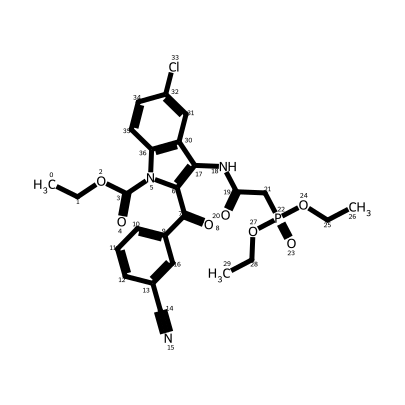 CCOC(=O)n1c(C(=O)c2cccc(C#N)c2)c(NC(=O)CP(=O)(OCC)OCC)c2cc(Cl)ccc21